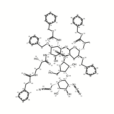 CN(C[C@H]1O[C@H](O[C@@H]2[C@@H](NC(=O)OCc3ccccc3)[C@H](OCc3ccccc3)[C@@H](NC(=O)[C@@H](O)CCNC(=O)OCc3ccccc3)[C@H](O)[C@H]2O[C@@H]2O[C@H](CO)[C@@H](O[C@H]3O[C@@H](CN=[N+]=[N-])[C@@H](O)[C@H](O)[C@H]3N=[N+]=[N-])[C@H]2O)[C@H](N=[N+]=[N-])C[C@@H]1OCc1ccccc1)C(=O)OCc1ccccc1